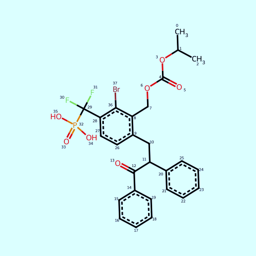 CC(C)OC(=O)OCc1c(CC(C(=O)c2ccccc2)c2ccccc2)ccc(C(F)(F)P(=O)(O)O)c1Br